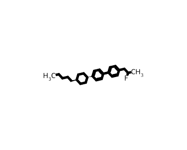 CCCCC[C@H]1CC[C@H](c2ccc(-c3ccc(CC(C)F)cc3)cc2)CC1